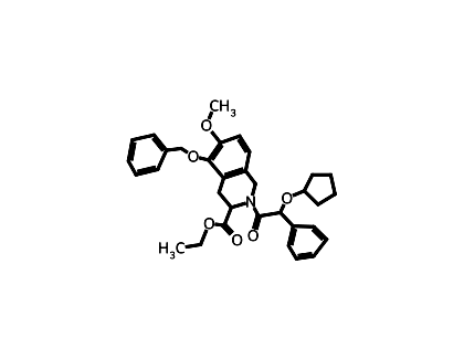 CCOC(=O)C1Cc2c(ccc(OC)c2OCc2ccccc2)CN1C(=O)C(OC1CCCC1)c1ccccc1